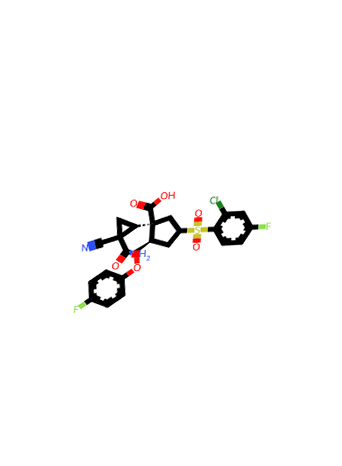 N#CC1(C(N)=O)CC1[C@]1(C(=O)O)CC(S(=O)(=O)c2ccc(F)cc2Cl)C[C@H]1COc1ccc(F)cc1